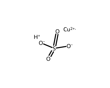 O=S(=O)([O-])[O-].[Cu+2].[H+]